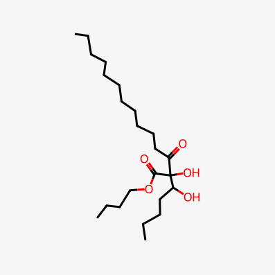 CCCCCCCCCCCC(=O)C(O)(C(=O)OCCCC)C(O)CCCC